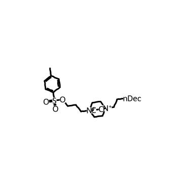 CCCCCCCCCCCC[N+]12CC[N+](CCCOS(=O)(=O)c3ccc(C)cc3)(CC1)CC2